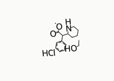 CCO.COC(=O)C(c1ccccc1)C1CCCCN1.Cl